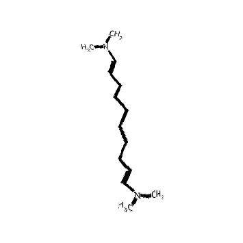 CN(C)C=CCCCCCCC=CN(C)C